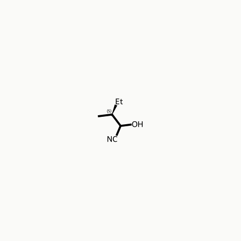 CC[C@H](C)C(O)C#N